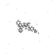 CCC[C@@H](CNc1ccc(OC(F)(F)F)cc1)NC(=O)OC(CC1CCCCC1)C(=O)N1CCOCC1